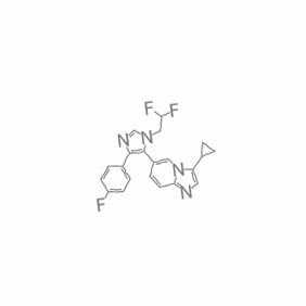 Fc1ccc(-c2ncn(CC(F)F)c2-c2ccc3ncc(C4CC4)n3c2)cc1